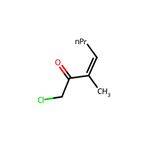 CCCC=C(C)C(=O)CCl